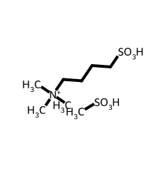 CS(=O)(=O)O.C[N+](C)(C)CCCCS(=O)(=O)O